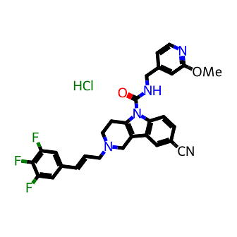 COc1cc(CNC(=O)n2c3c(c4cc(C#N)ccc42)CN(C/C=C/c2cc(F)c(F)c(F)c2)CC3)ccn1.Cl